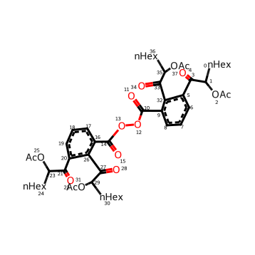 CCCCCCC(OC(C)=O)C(=O)c1cccc(C(=O)OOC(=O)c2cccc(C(=O)C(CCCCCC)OC(C)=O)c2C(=O)C(CCCCCC)OC(C)=O)c1C(=O)C(CCCCCC)OC(C)=O